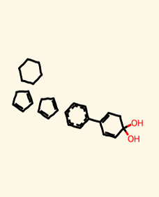 C1=CCC=C1.C1=CCC=C1.C1CCCCC1.OC1(O)C=CC(c2ccccc2)=CC1